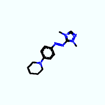 Cn1nc[n+](C)c1/N=N/c1ccc(N2CCCCC2)cc1